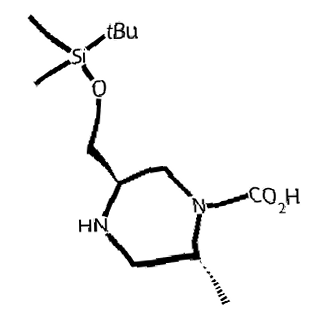 C[C@@H]1CN[C@@H](CO[Si](C)(C)C(C)(C)C)CN1C(=O)O